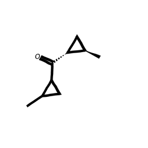 CC1CC1C(=O)[C@@H]1C[C@H]1C